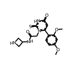 COc1ccc(-c2cc(=O)[nH]c(=S)n2CC(=O)NC2CNC2)c(OC)c1